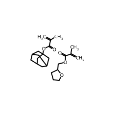 C=C(C)C(=O)OC12CC3CC(CC(C3)C1)C2.C=C(C)C(=O)OCC1CCCO1